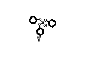 F.F.O[Si](Oc1ccccc1)(Oc1ccccc1)Oc1ccccc1